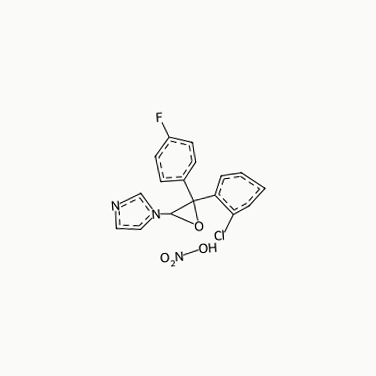 Fc1ccc(C2(c3ccccc3Cl)OC2n2ccnc2)cc1.O=[N+]([O-])O